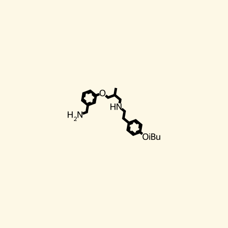 CC(C)COc1ccc(CCNCC(C)COc2cccc(CN)c2)cc1